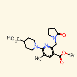 CC(C)OC(=O)c1cc(C#N)c(N2CCC(C(=O)O)CC2)nc1CN1CCCC1=O